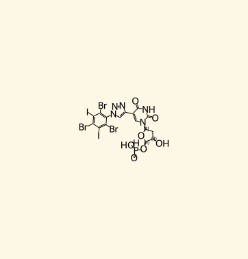 O=c1[nH]c(=O)n([C@H]2C[C@@H](O)[C@@H](O[PH](=O)O)O2)cc1-c1cn(-c2c(Br)c(I)c(Br)c(I)c2Br)nn1